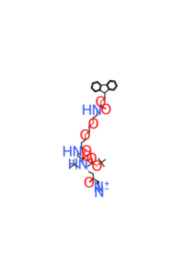 CC(C)C[C@H](NC(=O)CCOCCOCCNC(=O)OCC1c2ccccc2-c2ccccc21)C(=O)N[C@@H](CCC(=O)C=[N+]=[N-])C(=O)OC(C)(C)C